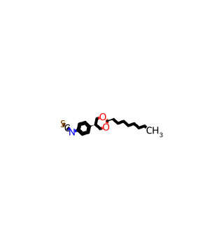 CCCCCCCC[C@H]1OC[C@H](c2ccc(N=C=S)cc2)CO1